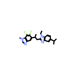 CCn1c(CC(C)c2cc3ncn(C)c3c(F)c2F)nc2cc(C(C)C)ccc21